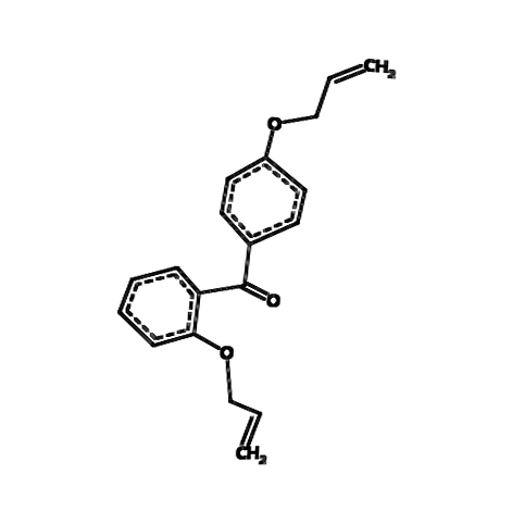 C=CCOc1ccc(C(=O)c2ccccc2OCC=C)cc1